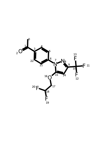 CC(=O)c1ccc(-n2nc(C(F)(F)F)cc2OCC(F)F)cc1